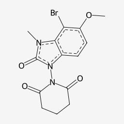 COc1ccc2c(c1Br)n(C)c(=O)n2N1C(=O)CCCC1=O